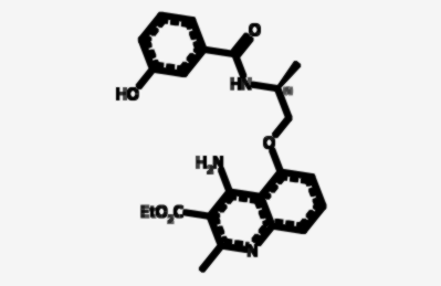 CCOC(=O)c1c(C)nc2cccc(OC[C@H](C)NC(=O)c3cccc(O)c3)c2c1N